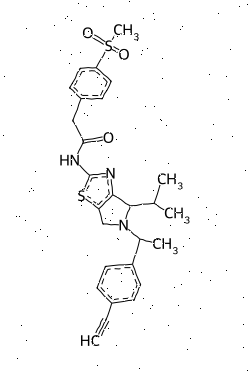 C#Cc1ccc(C(C)N2Cc3sc(NC(=O)Cc4ccc(S(C)(=O)=O)cc4)nc3C2C(C)C)cc1